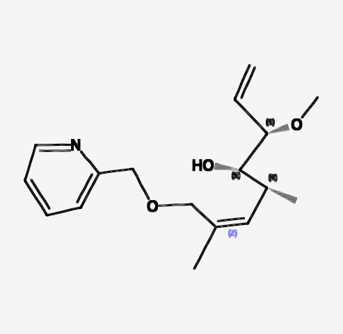 C=C[C@H](OC)[C@@H](O)[C@H](C)/C=C(/C)COCc1ccccn1